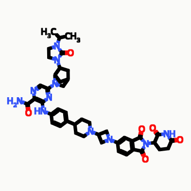 CC(C)N1CCN(C2CC3CC2N(c2cnc(C(N)=O)c(Nc4ccc(C5CCN(C6CN(c7ccc8c(c7)C(=O)N(C7CCC(=O)NC7=O)C8=O)C6)CC5)cc4)n2)C3)C1=O